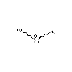 CCCCC=CP(=O)(O)CCCCCC